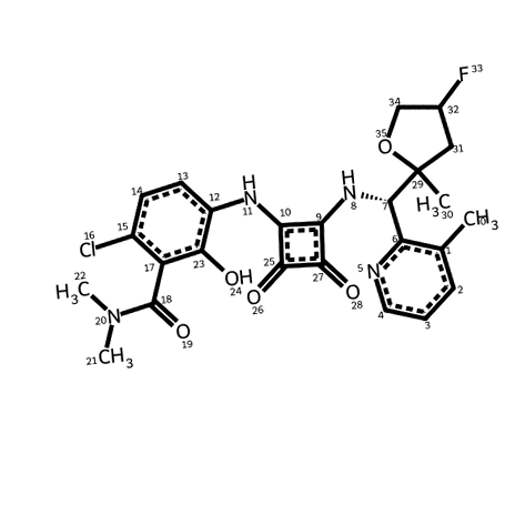 Cc1cccnc1[C@H](Nc1c(Nc2ccc(Cl)c(C(=O)N(C)C)c2O)c(=O)c1=O)C1(C)CC(F)CO1